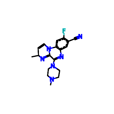 CC1C=CN2C(=N1)C(N1CCN(C)CC1)=Nc1cc(C#N)c(F)cc12